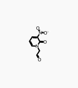 O=CCn1cccc([N+](=O)[O-])c1=O